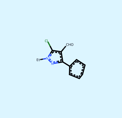 CCn1nc(-c2ccccc2)c(C=O)c1Cl